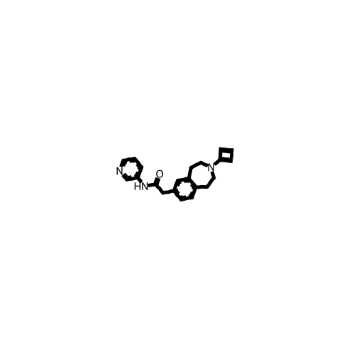 O=C(Cc1ccc2c(c1)CCN(C1=CC=C1)CC2)Nc1cccnc1